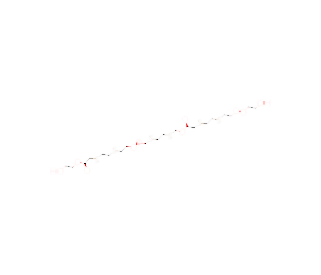 O=C(CSCCSCCOOCSCCSCOC(=O)CSCCSCCOOCCO)OCCO